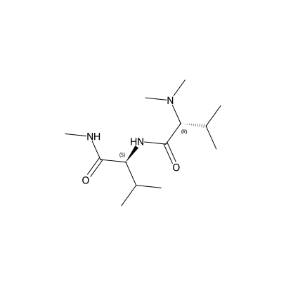 CNC(=O)[C@@H](NC(=O)[C@@H](C(C)C)N(C)C)C(C)C